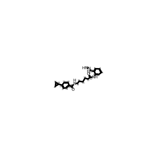 N=NNc1ccccc1NC(=O)CCCCCNC(=O)c1ccc(C2CC2)cc1